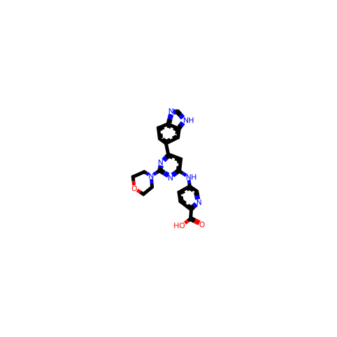 O=C(O)c1ccc(Nc2cc(-c3ccc4nc[nH]c4c3)nc(N3CCOCC3)n2)cn1